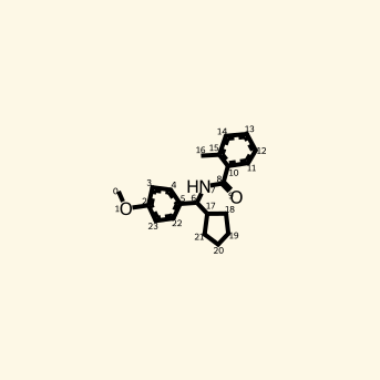 COc1ccc(C(NC(=O)c2ccccc2C)C2CCCC2)cc1